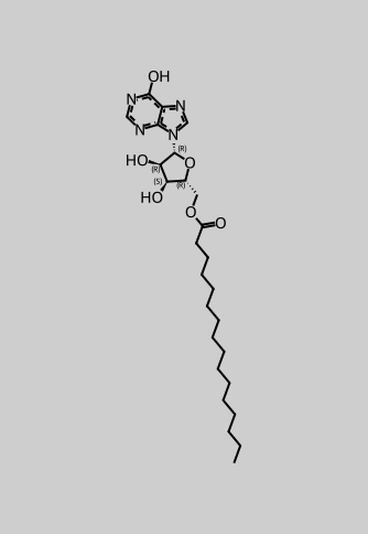 CCCCCCCCCCCCCCCC(=O)OC[C@H]1O[C@@H](n2cnc3c(O)ncnc32)[C@H](O)[C@@H]1O